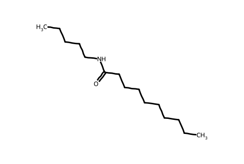 CCCCCCCCCC(=O)NCCCCC